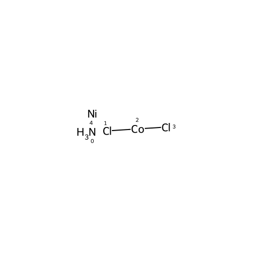 N.[Cl][Co][Cl].[Ni]